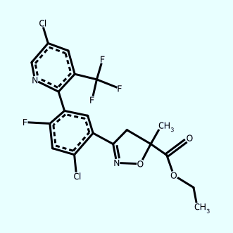 CCOC(=O)C1(C)CC(c2cc(-c3ncc(Cl)cc3C(F)(F)F)c(F)cc2Cl)=NO1